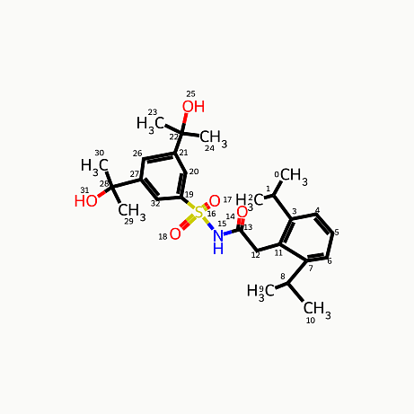 CC(C)c1cccc(C(C)C)c1CC(=O)NS(=O)(=O)c1cc(C(C)(C)O)cc(C(C)(C)O)c1